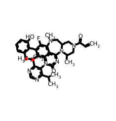 C=CC(=O)N1CC(C)N2c3nc(=O)n(-c4c(C(C)C)ncnc4C(C)C)c4c(F)c(-c5c(O)cccc5F)c(F)c(c34)N(C)CC2C1